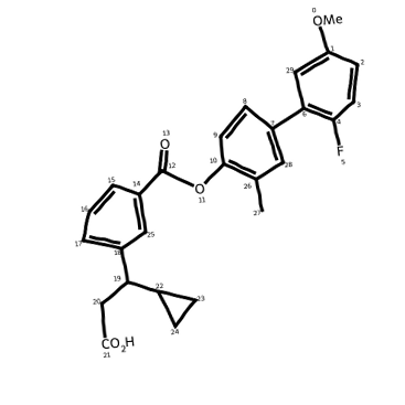 COc1ccc(F)c(-c2ccc(OC(=O)c3cccc(C(CC(=O)O)C4CC4)c3)c(C)c2)c1